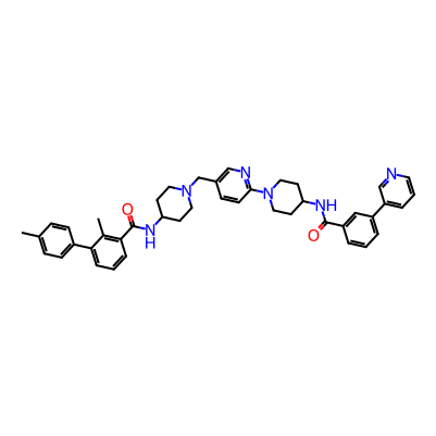 Cc1ccc(-c2cccc(C(=O)NC3CCN(Cc4ccc(N5CCC(NC(=O)c6cccc(-c7cccnc7)c6)CC5)nc4)CC3)c2C)cc1